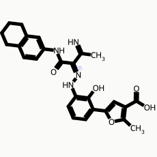 CC(=N)/C(=N/Nc1cccc(-c2cc(C(=O)O)c(C)o2)c1O)C(=O)Nc1ccc2c(c1)CCCC2